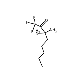 CCCCCC(N)(N)C(=O)C(F)(F)F